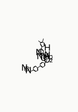 Cc1ccc(-c2cnc(N)c(C(=O)N[C@H]3CCC[C@@H]3OCc3ccc(-c4ccc(CN5CCN(C)CC5)cc4)cc3)c2)cc1C